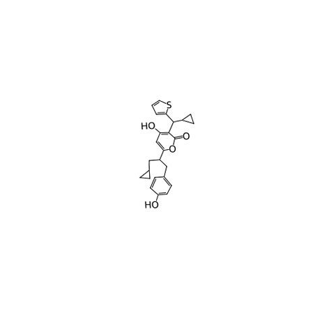 O=c1oc(C(Cc2ccc(O)cc2)CC2CC2)cc(O)c1C(c1cccs1)C1CC1